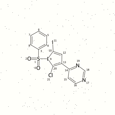 O=S(=O)(c1ccccc1)I1C(I)=CC(c2ccncn2)=C1Cl